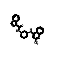 O=C(N[C@@H]1CCC[C@H](Nc2cc(C(F)(F)F)nc3ccccc23)C1)c1ncn2ccccc12